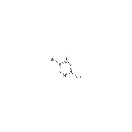 Cc1cc(O)ncc1Br